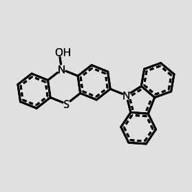 ON1c2ccccc2Sc2cc(-n3c4ccccc4c4ccccc43)ccc21